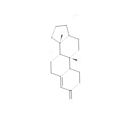 C[C@@H]1C[C@H](O)[C@@]2(C)CC[C@H]3[C@@H](CCC4=CC(=O)CC[C@@]43C)[C@H]12